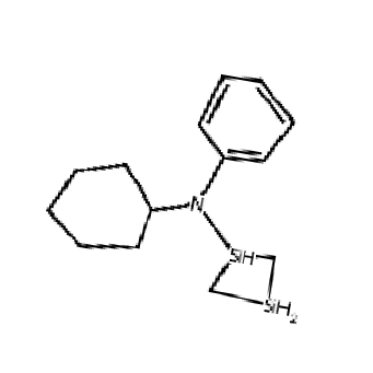 c1ccc(N(C2CCCCC2)[SiH]2C[SiH2]C2)cc1